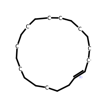 [CH]1/C=C/CCCCCCCCCCCCCCCCC1